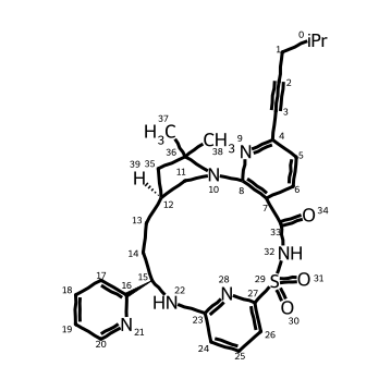 CC(C)CC#Cc1ccc2c(n1)N1C[C@@H](CC[C@H](c3ccccn3)Nc3cccc(n3)S(=O)(=O)NC2=O)CC1(C)C